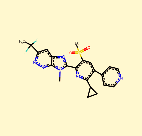 CCS(=O)(=O)c1cc(-c2ccncc2)c(C2CC2)nc1-c1nc2cc(C(F)(F)C(F)(F)F)nnc2n1C